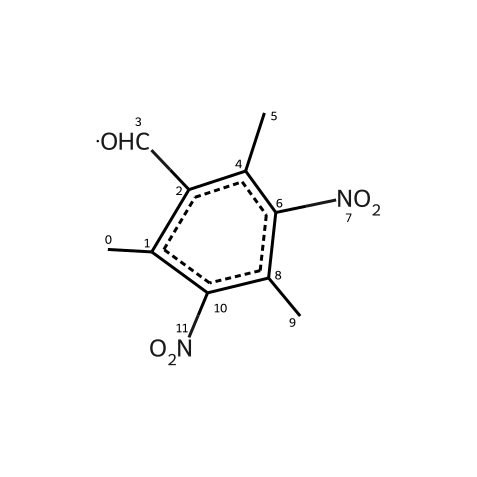 Cc1c([C]=O)c(C)c([N+](=O)[O-])c(C)c1[N+](=O)[O-]